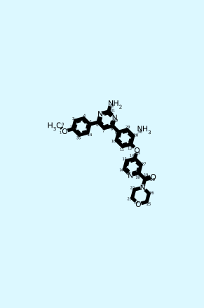 COc1ccc(-c2cc(-c3ccc(Oc4ccnc(C(=O)N5CCOCC5)c4)cc3)nc(N)n2)cc1.N